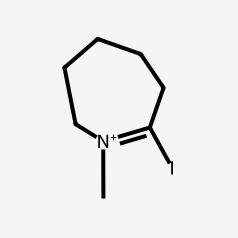 C[N+]1=C(I)CCCCC1